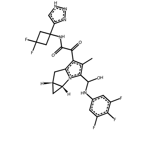 Cc1c(C(=O)C(=O)NC2(c3c[nH]nn3)CC(F)(F)C2)c2n(c1C(O)Nc1cc(F)c(F)c(F)c1)[C@@H]1C[C@@H]1C2